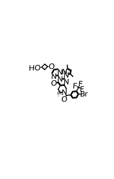 Cc1cc(C)n(-c2nc3c(c(=O)n2-c2ncc(O[C@H]4C[C@@H](O)C4)cn2)C[C@@H](C)N(C(=O)c2ccc(Br)c(C(F)(F)F)c2)C3)n1